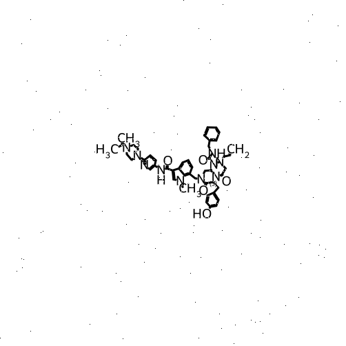 C=CCN1CC(=O)N2C(CN(Cc3cccc4c(C(=O)Nc5ccc(N6CCN(C(C)C)CC6)nc5)cn(C)c34)C(=O)[C@@H]2Cc2ccc(O)cc2)N1C(=O)NCc1ccccc1